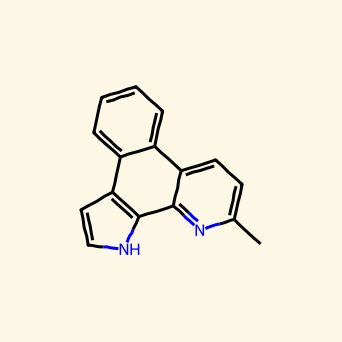 Cc1ccc2c3ccccc3c3cc[nH]c3c2n1